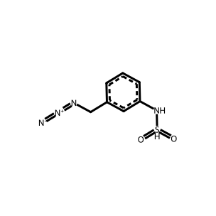 [N-]=[N+]=NCc1cccc(N[SH](=O)=O)c1